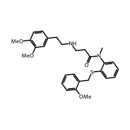 COc1ccccc1CSc1ccccc1N(C)C(=O)CCNCCc1ccc(OC)c(OC)c1